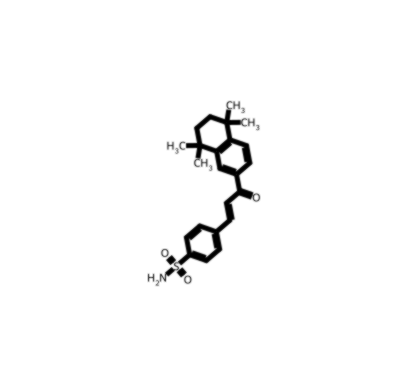 CC1(C)CCC(C)(C)c2cc(C(=O)C=Cc3ccc(S(N)(=O)=O)cc3)ccc21